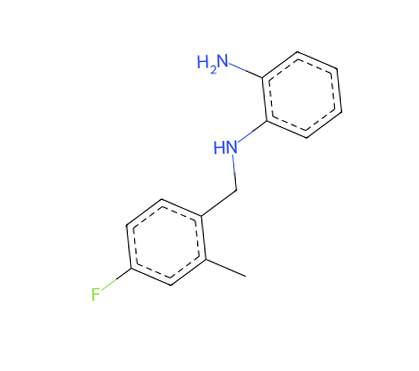 Cc1cc(F)ccc1CNc1ccccc1N